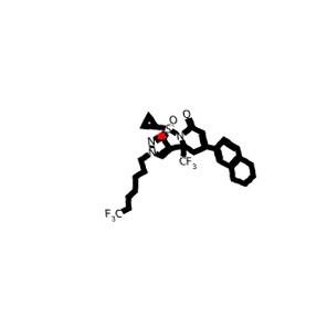 O=C1C=C(c2ccc3c(c2)CCCC3)CC(c2cnn(CCCCCCC(F)(F)F)c2)(C(F)(F)F)N1S(=O)(=O)C1CC1